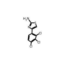 Nc1nc(-c2ccc(Cl)c(Cl)c2Cl)cs1